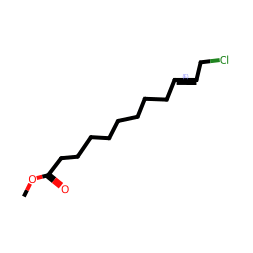 COC(=O)CCCCCCCC/C=C/CCl